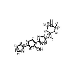 CN(c1cnc(-c2ccc(-c3ccncn3)cc2O)nn1)C1CC(C)(C)NC(C)(C)C1